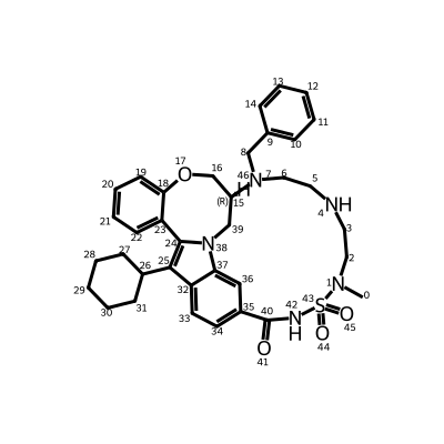 CN1CCNCCN(Cc2ccccc2)[C@H]2COc3ccccc3-c3c(C4CCCCC4)c4ccc(cc4n3C2)C(=O)NS1(=O)=O